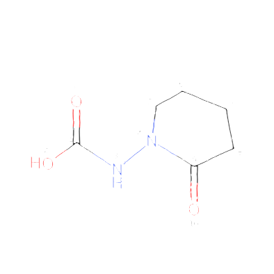 O=C(O)NN1CCCCC1=O